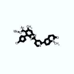 CC(=O)[C@@H](OC(C)(C)C)c1c(C)cc2nc(-c3ccnc(-c4ccc5c(ccc(=O)n5C)c4)c3)sc2c1-c1ccc(Cl)cc1